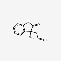 C=CCC1(N)C(=O)Nc2ccccc21